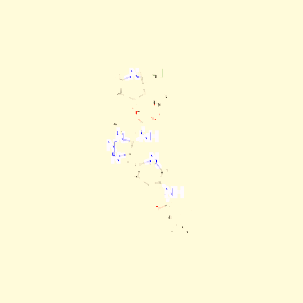 C[C@H](C#N)C(=O)Nc1ccc(-c2nnn(C)c2NC(=O)O[C@H](C)c2cccnc2Cl)nc1